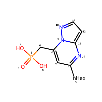 CCCCCCc1cc(CP(=O)(O)O)n2nccc2n1